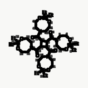 CC[Si]1(CC)OCCN(C(=O)C2C(C(=O)N3CCO[Si](CC)(CC)OCC3)C(C(=O)N3CCO[Si](CC)(CC)OCC3)C2C(=O)N2CCO[Si](CC)(CC)OCC2)CCO1